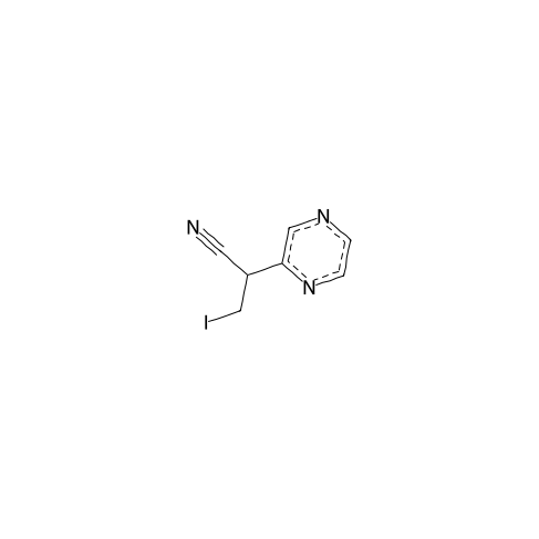 N#CC(CI)c1cnccn1